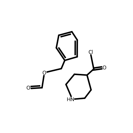 O=C(Cl)C1CCNCC1.O=COCc1ccccc1